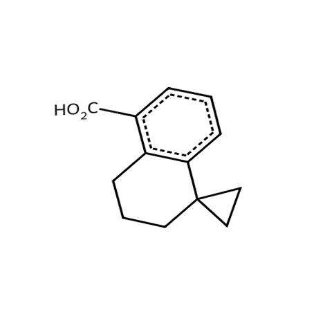 O=C(O)c1cccc2c1CCCC21CC1